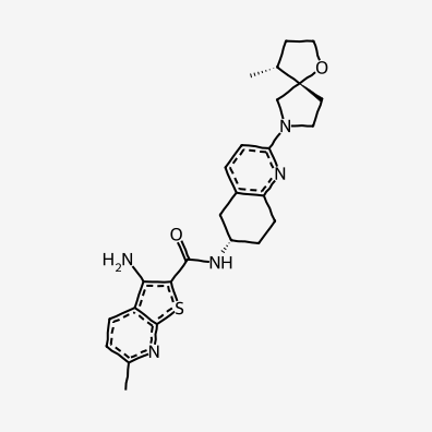 Cc1ccc2c(N)c(C(=O)N[C@H]3CCc4nc(N5CC[C@]6(C5)OCC[C@H]6C)ccc4C3)sc2n1